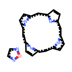 C1=Cc2cc3ccc(cc4nc(cc5ccc(cc1n2)[nH]5)C=C4)[nH]3.c1cnon1